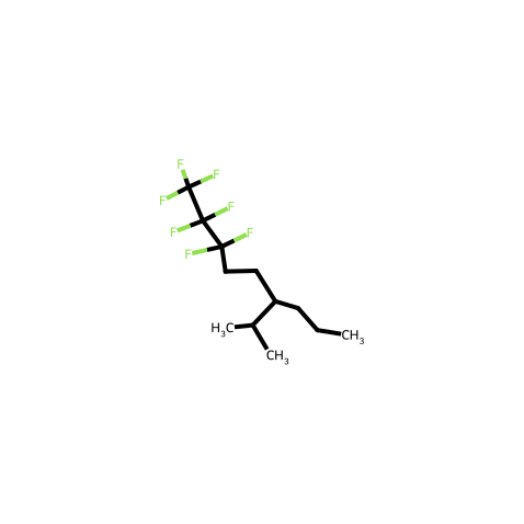 CCCC(CCC(F)(F)C(F)(F)C(F)(F)F)C(C)C